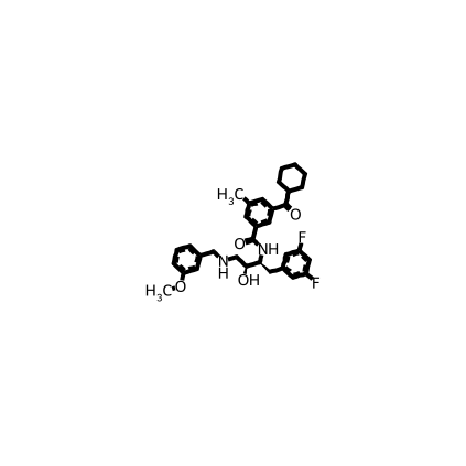 COc1cccc(CNC[C@H](O)[C@H](Cc2cc(F)cc(F)c2)NC(=O)c2cc(C)cc(C(=O)C3CCCCC3)c2)c1